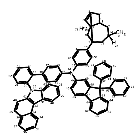 C[C@H]1CC2CC3=C[C@@H]2CC3(c2ccc(N(c3ccc(-c4ccccc4-n4c5ccccc5c5c6ccccc6ccc54)cc3)c3ccc4c(c3)C(c3ccccc3)(c3ccccc3)c3ccccc3-4)cc2)C1